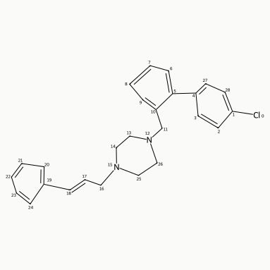 Clc1ccc(-c2ccccc2CN2CCN(CC=Cc3ccccc3)CC2)cc1